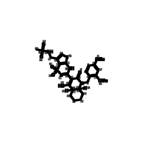 COc1ccc(CN2C(=O)C(C3=NS(=O)(=O)c4c(CNS(C)(=O)=O)csc4N3)=C(O)[C@H]3CCCC[C@H]32)c(OC)c1